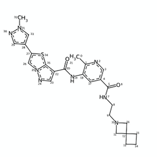 Cc1ncc(C(=O)NCCN2CC3(CCC3)C2)cc1NC(=O)c1cnn2cc(-c3cnn(C)c3)sc12